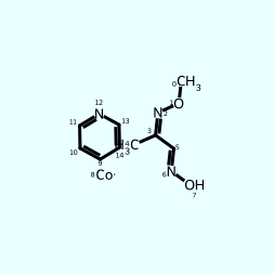 CON=C(C)C=NO.[Co].c1ccncc1